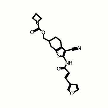 N#Cc1c(NC(=O)C=Cc2ccoc2)sc2c1CCC(COC(=O)N1CCC1)C2